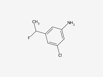 CC(F)c1cc(N)cc(Cl)c1